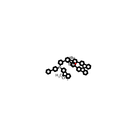 CC(C)(C)CC(c1ccc(-c2ccc3c(c2)C2(c4ccccc4-c4ccc(-c5ccc(-c6cccc(-c7cccc(N(c8ccc(-c9ccccc9)cc8)c8ccc9c(c8)C(C)(C)c8ccccc8-9)c7)c6)cc5)cc42)c2ccccc2-3)cc1)C(C)(C)C